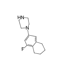 Fc1cc(N2CCNCC2)cc2c1CCCC2